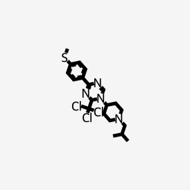 CSc1ccc(C2=NC(C(Cl)(Cl)Cl)N(C3CCN(CC(C)C)CC3)C=N2)cc1